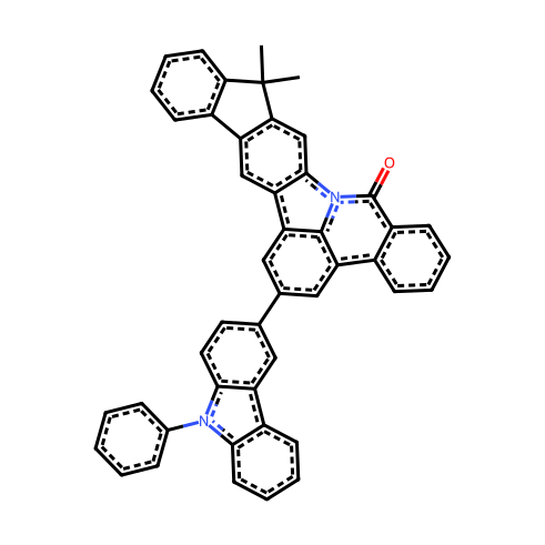 CC1(C)c2ccccc2-c2cc3c4cc(-c5ccc6c(c5)c5ccccc5n6-c5ccccc5)cc5c6ccccc6c(=O)n(c3cc21)c54